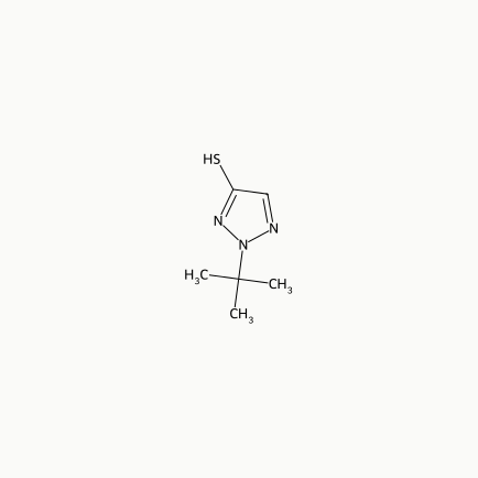 CC(C)(C)n1ncc(S)n1